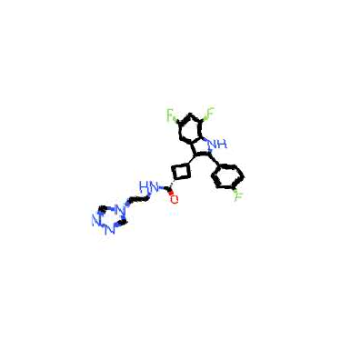 O=C(NCCn1cnnc1)[C@H]1C[C@H](c2c(-c3ccc(F)cc3)[nH]c3c(F)cc(F)cc32)C1